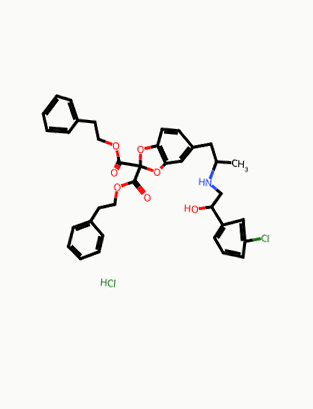 CC(Cc1ccc2c(c1)OC(C(=O)OCCc1ccccc1)(C(=O)OCCc1ccccc1)O2)NCC(O)c1cccc(Cl)c1.Cl